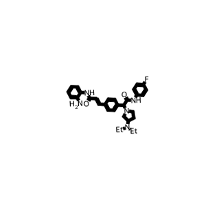 CCN(CC)C1CCN(C(C(=O)Nc2ccc(F)cc2)c2ccc(C=CC(=O)Nc3ccccc3N)cc2)C1